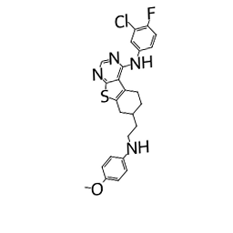 COc1ccc(NCCC2CCc3c(sc4ncnc(Nc5ccc(F)c(Cl)c5)c34)C2)cc1